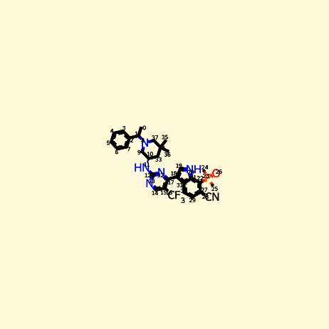 CC(c1ccccc1)N1C[C@@H](Nc2ncc(C(F)(F)F)c(-c3c[nH]c4c(P(C)(C)=O)c(C#N)ccc34)n2)CC(C)(C)C1